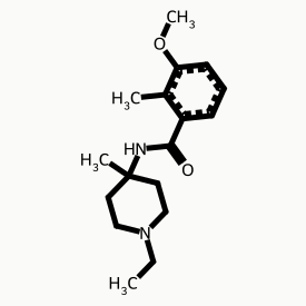 CCN1CCC(C)(NC(=O)c2cccc(OC)c2C)CC1